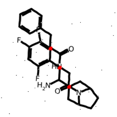 NC(Cc1cc(F)c(F)cc1F)C1CC2CCC(C1)N2C(=O)CNC(=O)CCc1ccccc1